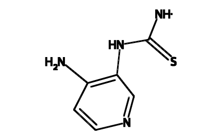 [NH]C(=S)Nc1cnccc1N